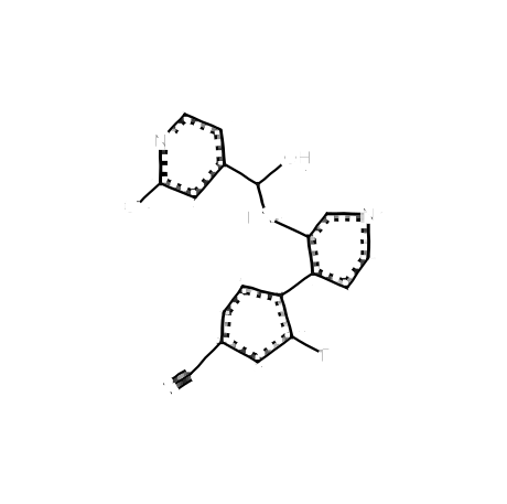 N#Cc1ccc(-c2ccncc2NC(O)c2ccnc(Cl)c2)c(F)c1